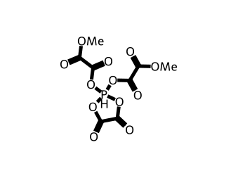 COC(=O)C(=O)O[PH]1(OC(=O)C(=O)OC)OC(=O)C(=O)O1